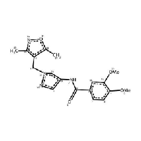 COc1ccc(C(=O)Nc2cnn(Cc3c(C)noc3C)c2)cc1OC